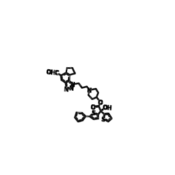 O=Cc1cc2nnn(CCCN3CCC(OC(=O)[C@](O)(c4cccs4)c4ccc(-c5ccccc5)s4)CC3)c2c2c1CCC2